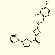 O=C(N1CC(OCc2ccc(C(F)(F)F)cc2F)C1)N1CCC(n2cncn2)C1